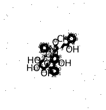 O=C1[C@H](CC[C@H](O)c2ccccc2Cl)[C@@H](c2ccc(-c3ccccc3[C@@H]3O[C@H](CO)[C@@H](O)[C@H](O)[C@H]3O)c(O)c2)N1c1ccccc1